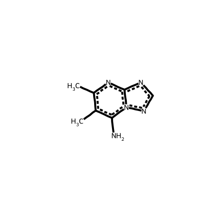 Cc1nc2ncnn2c(N)c1C